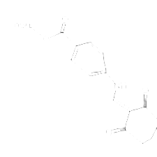 CCCCOC(=O)c1ccc(NC=C2C(=O)CCCC2=O)cc1